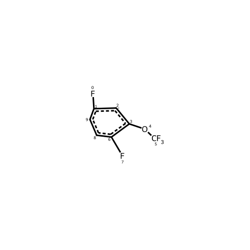 Fc1[c]c(OC(F)(F)F)c(F)cc1